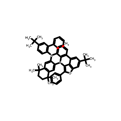 Cc1cc2c3c(c1)N(c1ccc(C(C)(C)C)cc1-c1ccccc1)c1cc4c(cc1B3c1c(-c3ccccc3)oc3cc(C(C)(C)C)cc-2c13)C(C)(C)CCC4(C)C